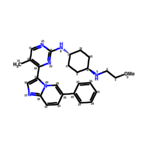 COCCN[C@H]1CC[C@H](Nc2ncc(C)c(-c3cnc4ccc(-c5ccccc5)cn34)n2)CC1